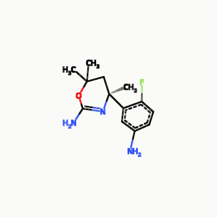 CC1(C)C[C@@](C)(c2cc(N)ccc2F)N=C(N)O1